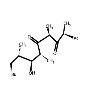 CC[C@H](C)C[C@H](C)[C@H](O)[C@@H](C)C(=O)[C@@H](C)C(=O)[C@@H](C)C(C)=O